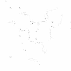 c1ccc2c(c1)Oc1ccccc1N1CCNCC21